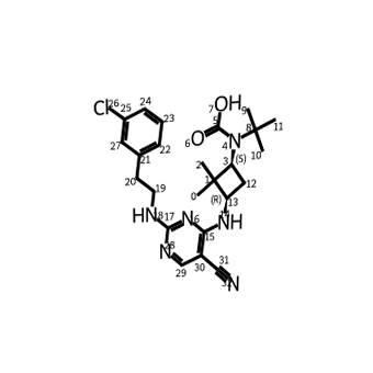 CC1(C)[C@@H](N(C(=O)O)C(C)(C)C)C[C@H]1Nc1nc(NCCc2cccc(Cl)c2)ncc1C#N